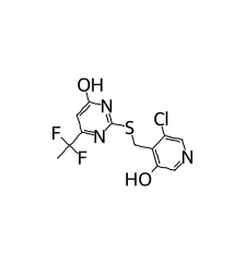 CC(F)(F)c1cc(O)nc(SCc2c(O)cncc2Cl)n1